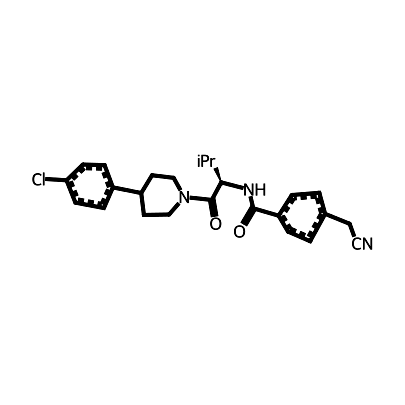 CC(C)[C@@H](NC(=O)c1ccc(CC#N)cc1)C(=O)N1CCC(c2ccc(Cl)cc2)CC1